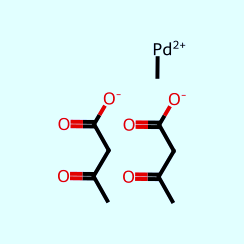 CC(=O)CC(=O)[O-].CC(=O)CC(=O)[O-].[CH3][Pd+2]